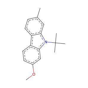 COc1ccc2c3ccc(C)cc3n(C(C)(C)C)c2c1